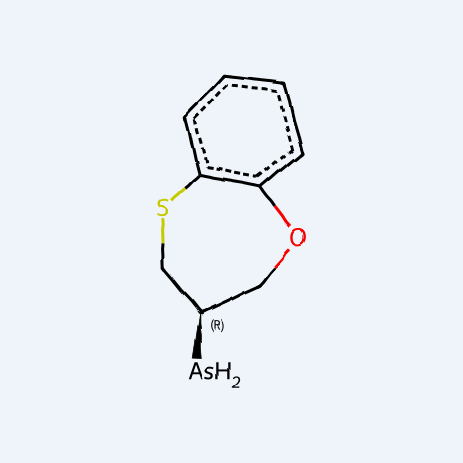 [AsH2][C@@H]1COc2ccccc2SC1